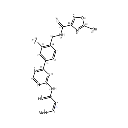 CN/C=C\C(=N)Nc1ncnc(-c2ccc(CNC(=O)c3noc(C(C)(C)C)n3)c(C(F)(F)F)c2)n1